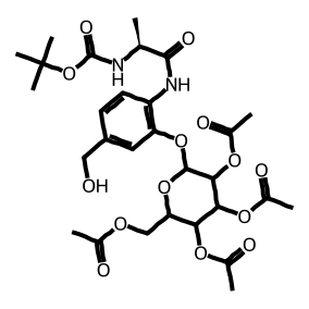 CC(=O)OCC1OC(Oc2cc(CO)ccc2NC(=O)[C@H](C)NC(=O)OC(C)(C)C)C(OC(C)=O)C(OC(C)=O)C1OC(C)=O